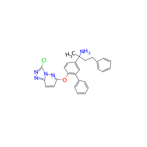 CC(N)(CCc1ccccc1)c1ccc(Oc2ccc3nnc(Cl)n3n2)c(-c2ccccc2)c1